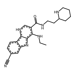 CCNc1c(C(=O)NCCC2CCCCN2)c[nH]c2c3ccc(C#N)cc3nc1-2